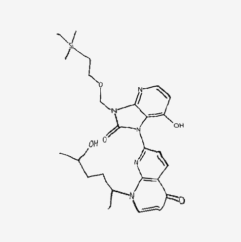 CC(O)CCC(C)n1ccc(=O)c2ccc(-n3c(=O)n(COCC[Si](C)(C)C)c4nccc(O)c43)nc21